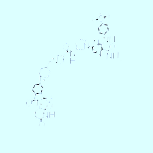 CS(=O)(=O)c1ccc(Nc2nc(N3CCC[C@@H](NC(=O)C4CCN(CC5CCN(c6ccc7c(c6)C(=O)N(C6CCC(=O)NC6=O)C7=O)CC5)C4)C3)cnc2C(N)=O)cc1